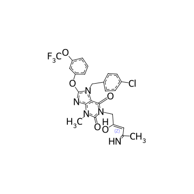 CC(=N)/C=C(\O)Cn1c(=O)c2c(nc(Oc3cccc(OC(F)(F)F)c3)n2Cc2ccc(Cl)cc2)n(C)c1=O